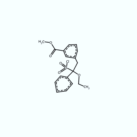 CCOC(Cc1cccc(C(=O)OC)c1)(c1ccccc1)S(=O)(=O)Cl